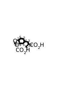 O=C(O)CC(=Cc1ccc2c(c1)OCO2)C(=O)O